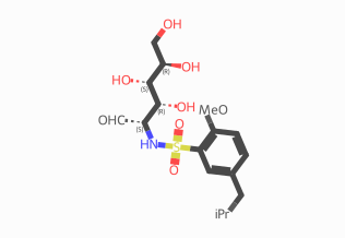 COc1ccc(CC(C)C)cc1S(=O)(=O)N[C@H](C=O)[C@@H](O)[C@H](O)[C@H](O)CO